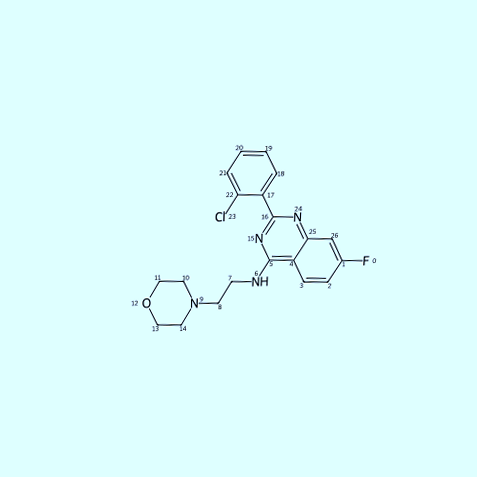 Fc1ccc2c(NCCN3CCOCC3)nc(-c3ccccc3Cl)nc2c1